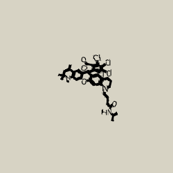 CC1=CC(C)(C)N(C)c2cc3c(cc21)C1(OC(=O)c2c(Cl)c(Cl)c(Cl)c(Cl)c21)c1cc2c(cc1O3)N(CCCC(=O)NC(C)C)CCC2